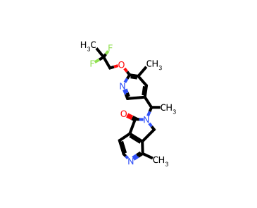 Cc1cc(C(C)N2Cc3c(ccnc3C)C2=O)cnc1OCC(C)(F)F